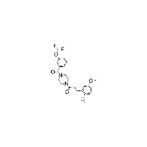 COc1ccc(OC)c(CCC(=O)N2CCN(C(=O)c3cccc(OC(F)F)c3)CC2)c1